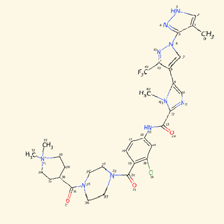 Cc1c[nH]nc1-n1cc(-c2cnc(C(=O)Nc3ccc(C(=O)N4CCN(C(=O)C5CC[N+](C)(C)CC5)CC4)c(Cl)c3)n2C)c(C(F)(F)F)n1